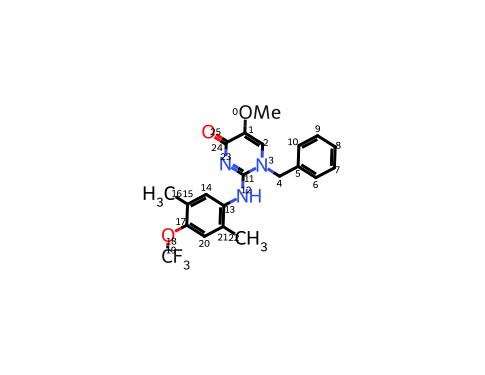 COc1cn(Cc2ccccc2)c(Nc2cc(C)c(OC(F)(F)F)cc2C)nc1=O